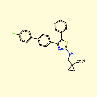 O=C(O)C1(CNc2nc(-c3ccc(-c4ccc(F)cc4)cc3)c(-c3ccccc3)s2)CC1